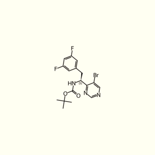 CC(C)(C)OC(=O)N[C@@H](Cc1cc(F)cc(F)c1)c1ncncc1Br